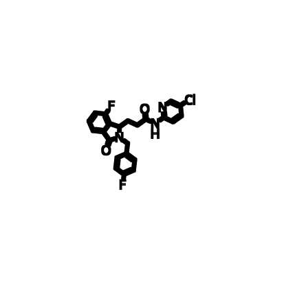 O=C(CCC1c2c(F)cccc2C(=O)N1Cc1ccc(F)cc1)Nc1ccc(Cl)cn1